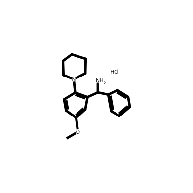 COc1ccc(N2CCCCC2)c(C(N)c2ccccc2)c1.Cl